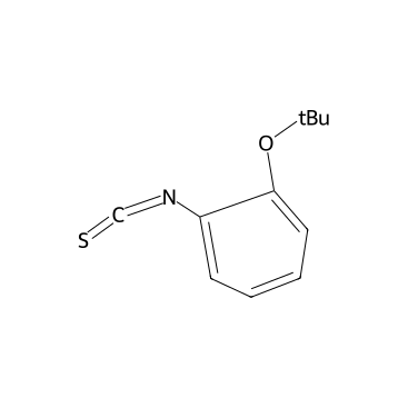 CC(C)(C)Oc1ccccc1N=C=S